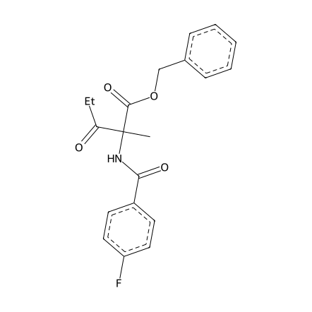 CCC(=O)C(C)(NC(=O)c1ccc(F)cc1)C(=O)OCc1ccccc1